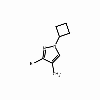 [CH2]c1cn(C2CCC2)nc1Br